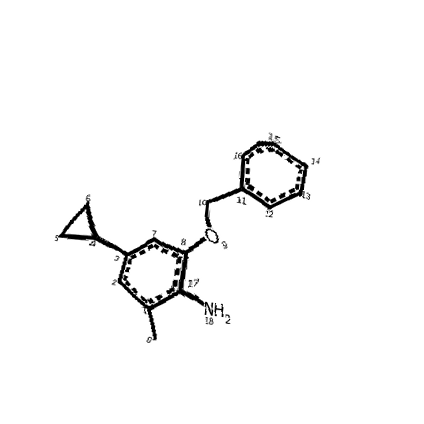 Cc1cc(C2CC2)cc(OCc2ccccc2)c1N